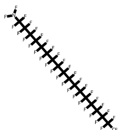 FN(F)C(F)(F)C(F)(F)C(F)(F)C(F)(F)C(F)(F)C(F)(F)C(F)(F)C(F)(F)C(F)(F)C(F)(F)C(F)(F)C(F)(F)C(F)(F)C(F)(F)C(F)(F)C(F)(F)C(F)(F)C(F)(F)F